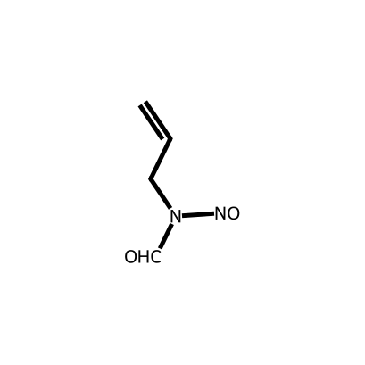 C=CCN(C=O)N=O